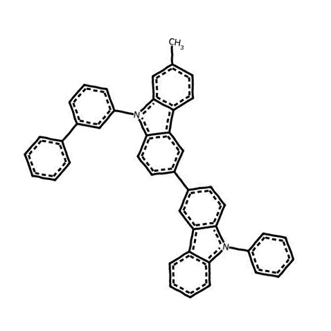 Cc1ccc2c3cc(-c4ccc5c(c4)c4ccccc4n5-c4ccccc4)ccc3n(-c3cccc(-c4ccccc4)c3)c2c1